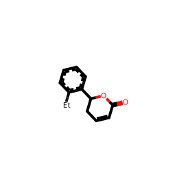 CCc1ccccc1C1CC=CC(=O)O1